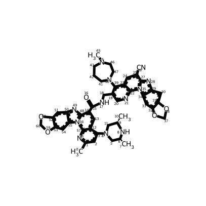 Cc1cc(N2C[C@@H](C)N[C@@H](C)C2)c2cc(C(=O)NCc3cnc4c(cc(C#N)c5nc6cc7c(cc6n54)OCO7)c3N3CCCN(C)CC3)c3nc4cc5c(cc4n3c2n1)OCO5